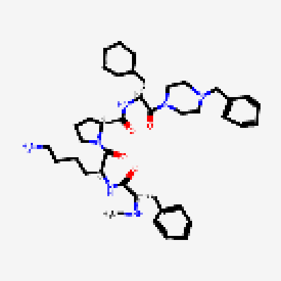 CN[C@@H](Cc1ccccc1)C(=O)N[C@@H](CCCCN)C(=O)N1CCC[C@H]1C(=O)N[C@H](CC1CCCCC1)C(=O)N1CCN(Cc2ccccc2)CC1